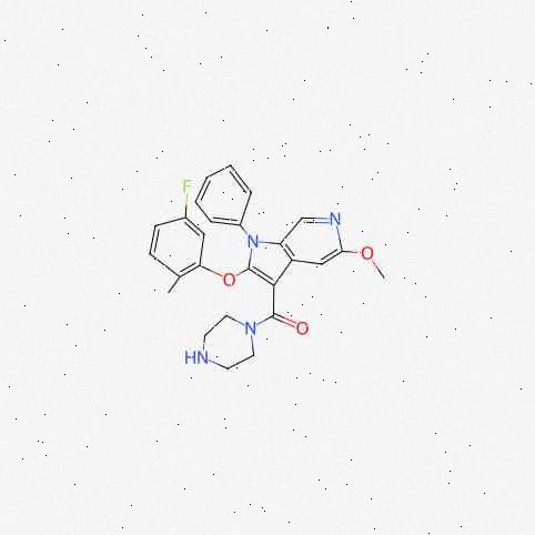 COc1cc2c(C(=O)N3CCNCC3)c(Oc3cc(F)ccc3C)n(-c3ccccc3)c2cn1